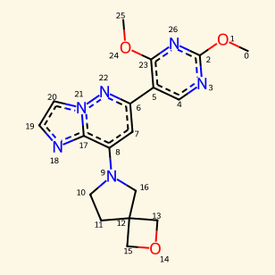 COc1ncc(-c2cc(N3CCC4(COC4)C3)c3nccn3n2)c(OC)n1